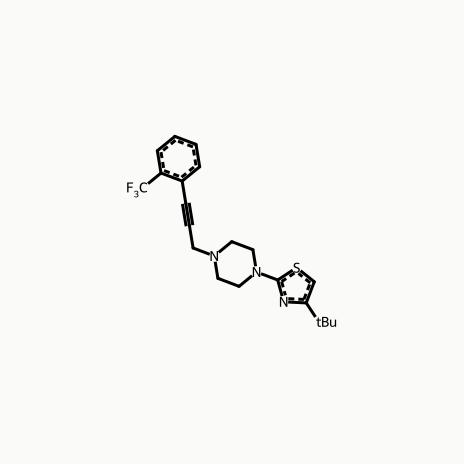 CC(C)(C)c1csc(N2CCN(CC#Cc3ccccc3C(F)(F)F)CC2)n1